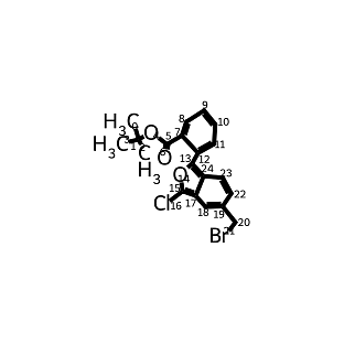 CC(C)(C)OC(=O)c1ccccc1-c1oc(Cl)c2cc(CBr)ccc12